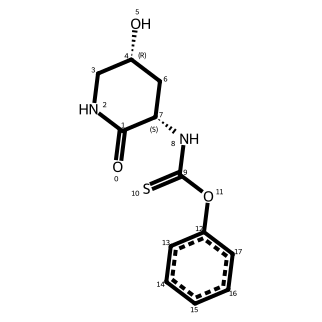 O=C1NC[C@H](O)C[C@@H]1NC(=S)Oc1ccccc1